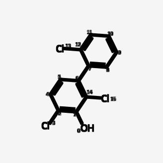 Oc1c(Cl)ccc(-c2ccccc2Cl)c1Cl